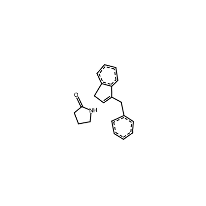 C1=C(Cc2ccccc2)c2ccccc2C1.O=C1CCCN1